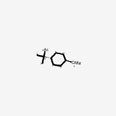 CO[C@H]1CC[C@H](C(C)(C)C(C)=O)CC1